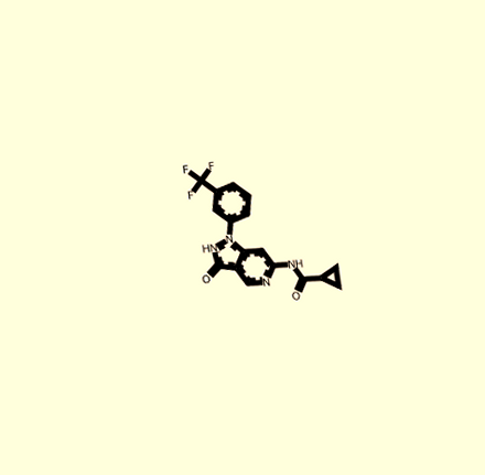 O=C(Nc1cc2c(cn1)c(=O)[nH]n2-c1cccc(C(F)(F)F)c1)C1CC1